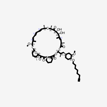 C#CCCCCCCO[C@@H]1CC[C@@H](C[C@@H](C)[C@@H]2CC(=O)[C@H](C)/C=C(\C)[C@@H](O)[C@@H](O)C(=O)[C@H](C)C[C@H](C)/C=C/C=C/C=C(\C)[C@@H](OC)C[C@@H]3CC[C@@H](C)[C@@](O)(O3)C(=O)C(=O)N3CCCC[C@H]3C(=O)O2)C[C@H]1OC